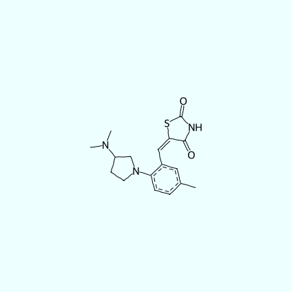 Cc1ccc(N2CCC(N(C)C)C2)c(C=C2SC(=O)NC2=O)c1